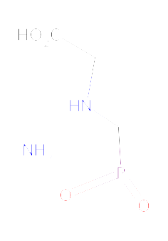 N.O=C(O)CNCP(=O)=O